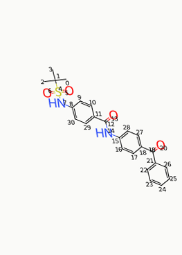 CC(C)(C)S(=O)(=O)Nc1ccc(C(=O)Nc2ccc(C(=O)c3ccccc3)cc2)cc1